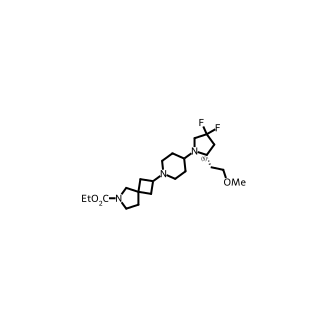 CCOC(=O)N1CCC2(CC(N3CCC(N4CC(F)(F)C[C@@H]4CCOC)CC3)C2)C1